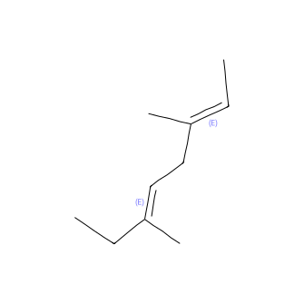 C/C=C(\C)C/C=C(\C)CC